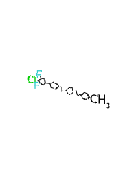 Cc1ccc(CC[C@H]2CC[C@H](CCc3ccc(-c4cc(F)c(Cl)c(F)c4)cc3)CC2)cc1